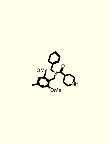 COc1cc(C)cc(OC)c1CN(CC1=CC=CCC1)C(=O)C1CCNCC1